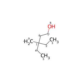 [CH2]C(CC)(CC)C[CH]O